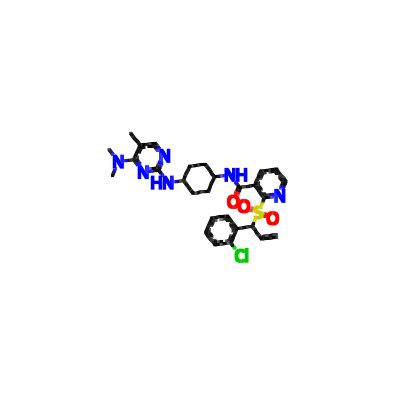 C=CC(c1ccccc1Cl)S(=O)(=O)c1ncccc1C(=O)NC1CCC(Nc2ncc(C)c(N(C)C)n2)CC1